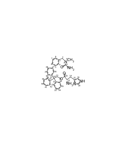 CN(Cc1ccccc1)C(N)=O.N[C@@H](Cc1c[nH]cn1)C(=O)OCC(c1ccccc1)(c1ccccc1)c1ccccc1